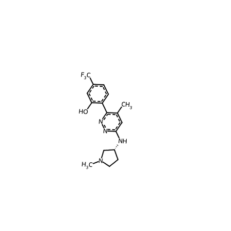 Cc1cc(N[C@@H]2CCN(C)C2)nnc1-c1ccc(C(F)(F)F)cc1O